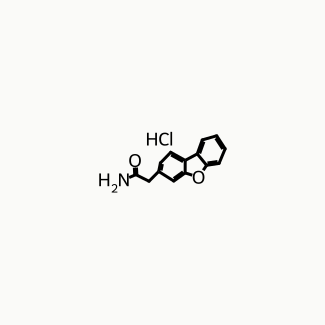 Cl.NC(=O)Cc1ccc2c(c1)oc1ccccc12